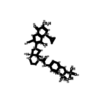 N#Cc1c(N2C[C@@H]3OCCN(C(=O)Oc4ccc(CC(P(=O)(O)O)P(=O)(O)O)cc4)[C@H]3C2)c(F)cc2c(=O)c(C(=O)O)cn(C3CC3)c12